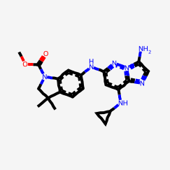 COC(=O)N1CC(C)(C)c2ccc(Nc3cc(NC4CC4)c4ncc(N)n4n3)cc21